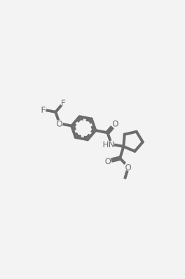 COC(=O)C1(NC(=O)c2ccc(OC(F)F)cc2)CCCC1